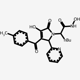 CCCCC(C(=O)NO)N1C(=O)C(O)=C(C(=O)c2ccc(C)cc2)C1c1ccccn1